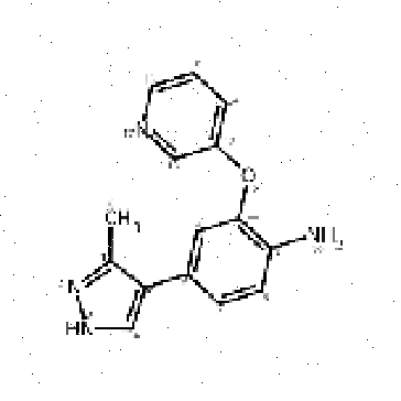 Cc1n[nH]cc1-c1ccc(N)c(Oc2cccnc2)c1